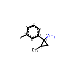 CCC1CC1(N)c1cccc(C)c1